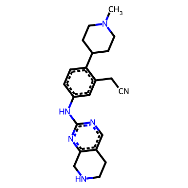 CN1CCC(c2ccc(Nc3ncc4c(n3)CNCC4)cc2CC#N)CC1